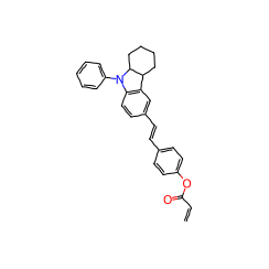 C=CC(=O)Oc1ccc(C=Cc2ccc3c(c2)C2CCCCC2N3c2ccccc2)cc1